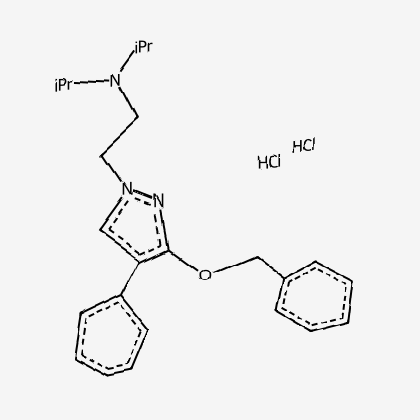 CC(C)N(CCn1cc(-c2ccccc2)c(OCc2ccccc2)n1)C(C)C.Cl.Cl